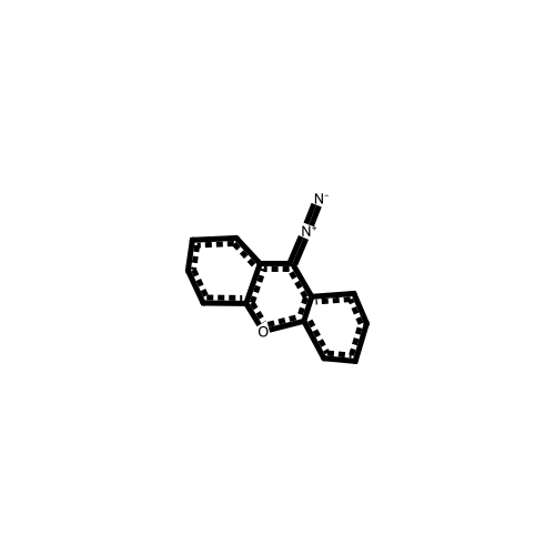 [N-]=[N+]=c1c2ccccc2oc2ccccc12